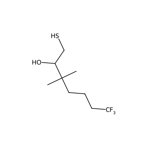 CC(C)(CCCC(F)(F)F)C(O)CS